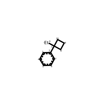 C[CH]C1(c2ccccc2)CCC1